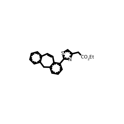 CCOC(=O)Cc1csc(-c2cccc3c2C=Cc2ccccc2C3)n1